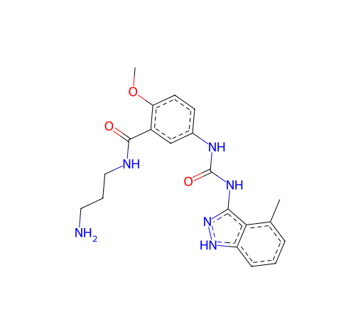 COc1ccc(NC(=O)Nc2n[nH]c3cccc(C)c23)cc1C(=O)NCCCN